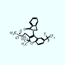 CC1(C)Oc2ccc(C(F)(F)C(F)(F)F)cc2C(N2Cc3ccccc3C2=O)=C1CNS(C)(=O)=O